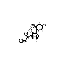 CC[C@@H](C(=O)NC(=O)CCl)N1CCCC1=O